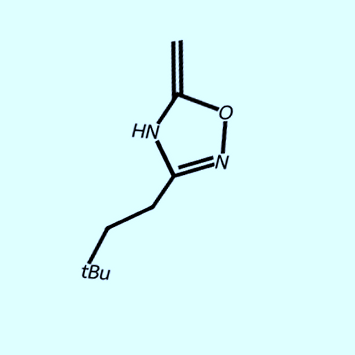 C=C1NC(CCC(C)(C)C)=NO1